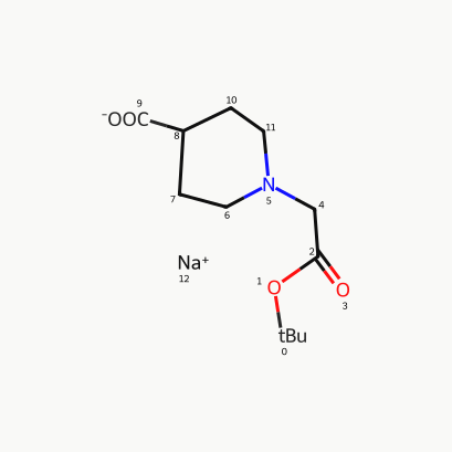 CC(C)(C)OC(=O)CN1CCC(C(=O)[O-])CC1.[Na+]